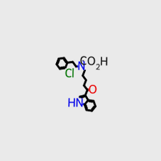 O=C(CCCCN(CCc1ccccc1Cl)C(=O)O)c1c[nH]c2ccccc12